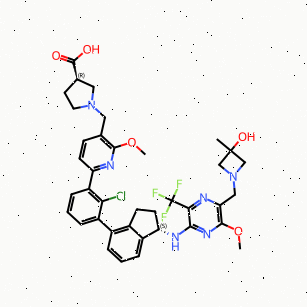 COc1nc(-c2cccc(-c3cccc4c3CC[C@@H]4Nc3nc(OC)c(CN4CC(C)(O)C4)nc3C(F)(F)F)c2Cl)ccc1CN1CC[C@@H](C(=O)O)C1